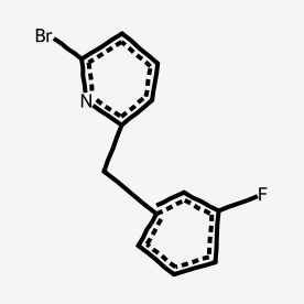 Fc1cccc(Cc2cccc(Br)n2)c1